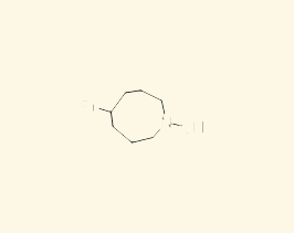 CCC1CCCN(C)CCC1